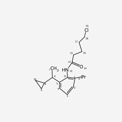 CC(C)c1cccc(C(C)C2CC2)c1NC(=O)CCCCCl